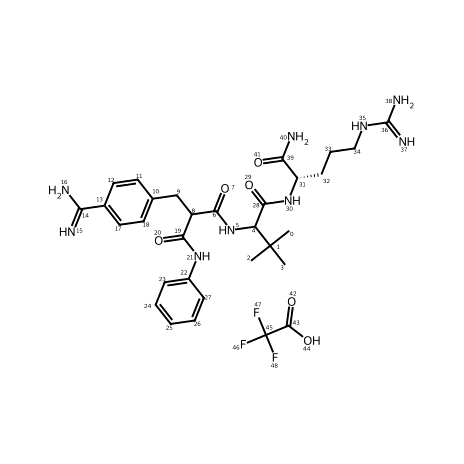 CC(C)(C)C(NC(=O)C(Cc1ccc(C(=N)N)cc1)C(=O)Nc1ccccc1)C(=O)N[C@@H](CCCNC(=N)N)C(N)=O.O=C(O)C(F)(F)F